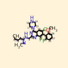 C=N/C(=C\C=C/C)NCc1nc(N2CCNCC2)c2cc(Cl)c(-c3c(F)cccc3OC)c(F)c2n1